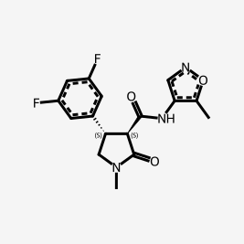 Cc1oncc1NC(=O)[C@H]1C(=O)N(C)C[C@@H]1c1cc(F)cc(F)c1